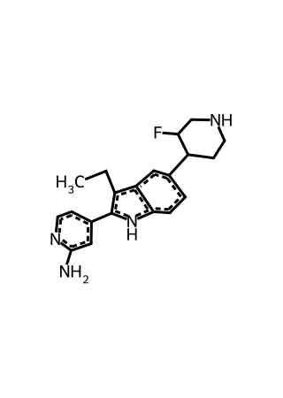 CCc1c(-c2ccnc(N)c2)[nH]c2ccc(C3CCNCC3F)cc12